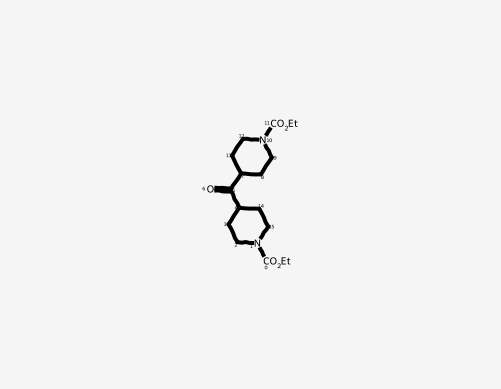 CCOC(=O)N1CCC(C(=O)C2CCN(C(=O)OCC)CC2)CC1